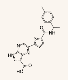 Cc1ccc(C(C)NC(=O)c2ccc(-c3cnc4[nH]cc(C(=O)O)c4n3)s2)cc1